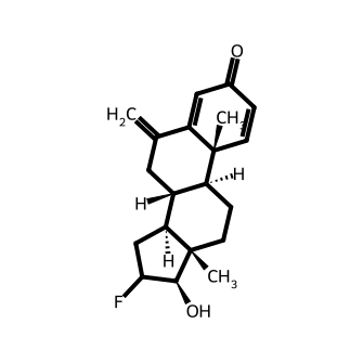 C=C1C[C@H]2[C@@H]3CC(F)[C@H](O)[C@@]3(C)CC[C@@H]2[C@@]2(C)C=CC(=O)C=C12